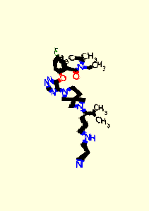 CCN(C(=O)c1cc(F)ccc1Oc1nncnc1N1CCC2(C1)CN([C@H](CCCNCCC#N)C(C)C)C2)C(C)C